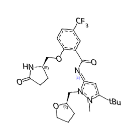 Cn1c(C(C)(C)C)c/c(=N\C(=O)c2cc(C(F)(F)F)ccc2OC[C@H]2CCC(=O)N2)n1C[C@H]1CCCO1